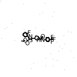 CCOC(=O)c1sc(C2CCN(C(=O)Nc3ccc(C(F)(F)F)cc3)CC2)nc1-c1ccccc1F